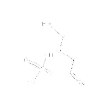 C=CCOCO.O=S(=O)(O)O